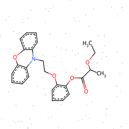 CCOC(C)C(=O)Oc1ccccc1OCCN1c2ccccc2Oc2ccccc21